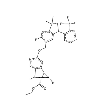 CCOC(=O)[C@@]12C3c4cc(OCc5cc6c(cc5F)C(C)(C)CC6c5ccccc5C(F)(F)F)ncc4C1(C)[C@@H]32